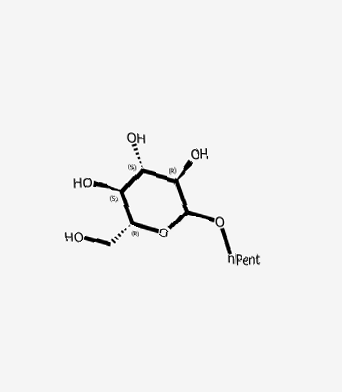 CCCCCOC1O[C@H](CO)[C@@H](O)[C@H](O)[C@H]1O